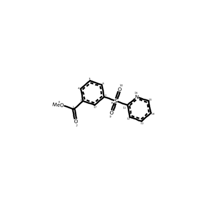 COC(=O)c1cccc(S(=O)(=O)c2ccccn2)c1